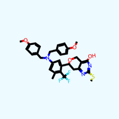 COc1ccc(CN(Cc2ccc(OC)cc2)c2cc(C)c(C(F)(F)F)c(C3Cc4nc(SC)nc(O)c4CO3)c2)cc1